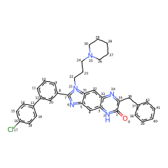 O=c1[nH]c2cc3nc(-c4cccc(-c5ccc(Cl)cc5)c4)n(CCCN4CCCCC4)c3cc2nc1Cc1ccccc1